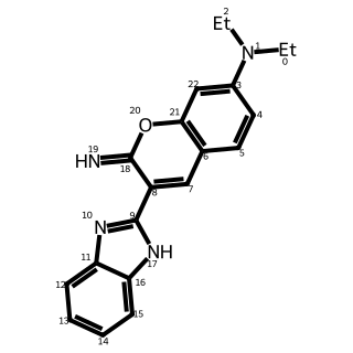 CCN(CC)c1ccc2cc(-c3nc4ccccc4[nH]3)c(=N)oc2c1